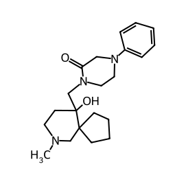 CN1CCC(O)(CN2CCN(c3ccccc3)CC2=O)C2(CCCC2)C1